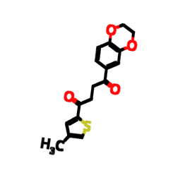 Cc1csc(C(=O)CCC(=O)c2ccc3c(c2)OCCO3)c1